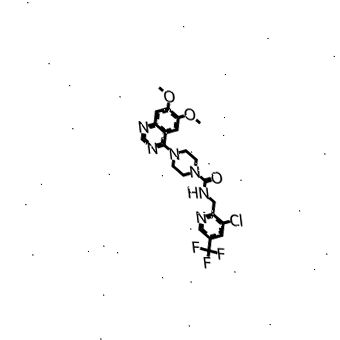 COc1cc2ncnc(N3CCN(C(=O)NCc4ncc(C(F)(F)F)cc4Cl)CC3)c2cc1OC